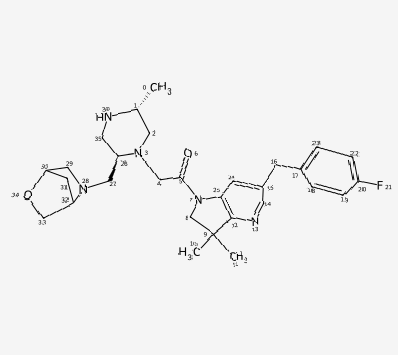 C[C@@H]1CN(CC(=O)N2CC(C)(C)c3ncc(Cc4ccc(F)cc4)cc32)[C@@H](CN2CC3CC2CO3)CN1